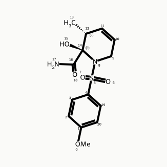 COc1ccc(S(=O)(=O)N2CC=C[C@@H](C)[C@@]2(O)C(N)=O)cc1